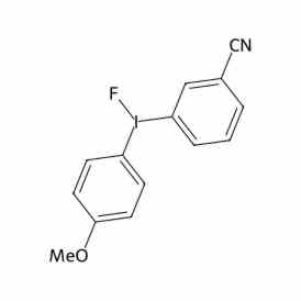 COc1ccc(I(F)c2cccc(C#N)c2)cc1